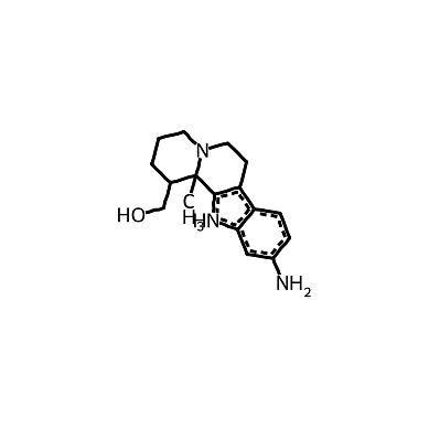 CC12c3[nH]c4cc(N)ccc4c3CCN1CCCC2CO